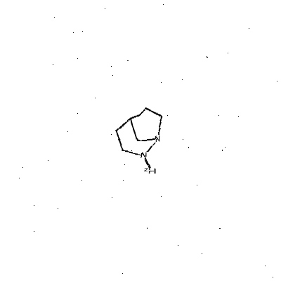 [2H]N1CCC2CCN1C2